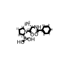 CC(C)[C@H](NC(=O)c1ccccc1)C(=O)N1CCC[C@H]1B(O)O